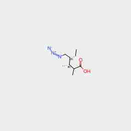 CC[C@@H](CN=[N+]=[N-])[C@@H](C)C(C)C(=O)O